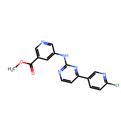 COC(=O)c1cncc(Nc2nccc(-c3ccc(Cl)nc3)n2)c1